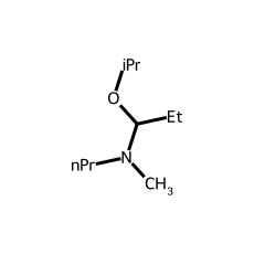 CCCN(C)C(CC)OC(C)C